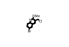 COc1nc2ccc(Br)cc2cc1CCl